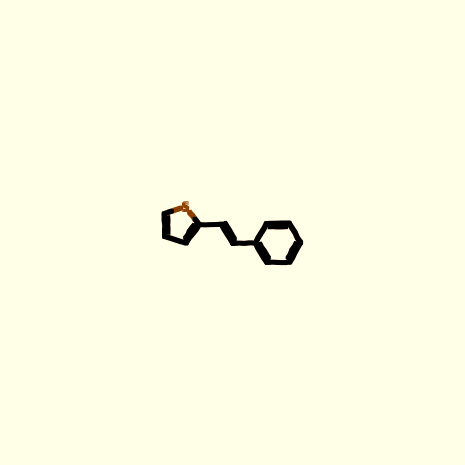 C(=Cc1cccs1)c1ccccc1